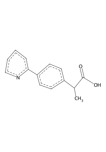 CC(C(=O)O)c1ccc(-c2ccccn2)cc1